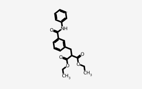 CCOC(=O)C(Cc1cccc(C(=O)Nc2c[c]ccc2)c1)C(=O)OCC